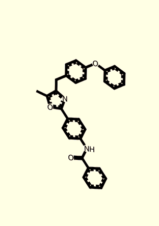 Cc1oc(-c2ccc(NC(=O)c3ccccc3)cc2)nc1Cc1ccc(Oc2ccccc2)cc1